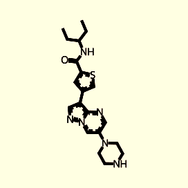 CCC(CC)NC(=O)c1cc(-c2cnn3cc(N4CCNCC4)cnc23)cs1